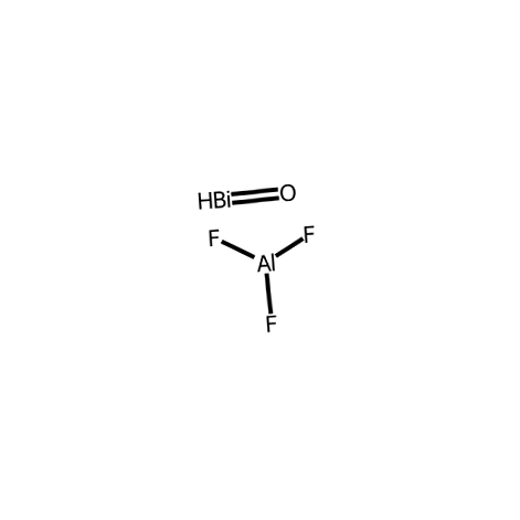 [F][Al]([F])[F].[O]=[BiH]